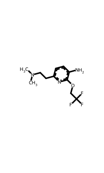 CN(C)CCc1ccc(N)c(OCC(F)(F)F)n1